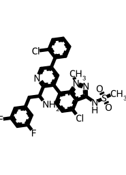 Cn1nc(NS(C)(=O)=O)c2c(Cl)ccc(-c3cc(-c4ccccc4Cl)cnc3C(N)Cc3cc(F)cc(F)c3)c21